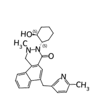 Cc1ccc(Cc2cc3c(c4ccccc24)CN(C)N([C@H]2CCCC[C@@H]2O)C3=O)cn1